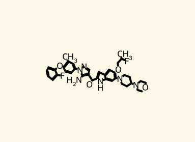 Cc1cc(-n2ncc(C(=O)c3cc4cc(OCC(C)F)c(N5CCC(N6CCOCC6)CC5)cc4[nH]3)c2N)ccc1Oc1ccccc1F